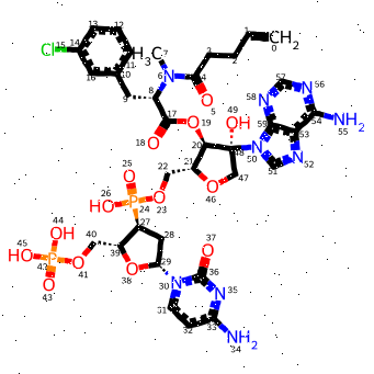 C=CCCC(=O)N(C)[C@@H](Cc1cccc(Cl)c1)C(=O)O[C@@H]1[C@@H](COP(=O)(O)[C@H]2C[C@H](n3ccc(N)nc3=O)O[C@@H]2COP(=O)(O)O)OC[C@]1(O)n1cnc2c(N)ncnc21